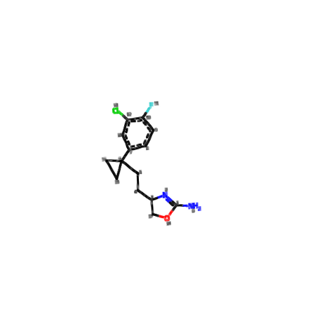 NC1=NC(CCC2(c3ccc(F)c(Cl)c3)CC2)CO1